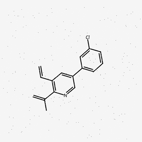 C=Cc1cc(-c2cccc(Cl)c2)cnc1C(=C)C